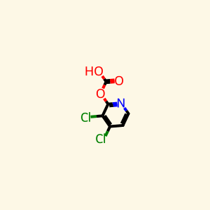 O=C(O)Oc1nccc(Cl)c1Cl